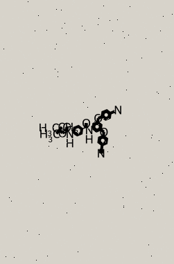 CC(C)(C)OC(=O)N[C@H]1CC[C@@H](C(=O)Nc2cc(Oc3ccc(C#N)cc3)cc(Oc3ccc(C#N)cc3)c2)CC1